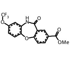 COC(=O)c1ccc2c(c1)C(=O)Nc1cc(OC(F)(F)F)ccc1O2